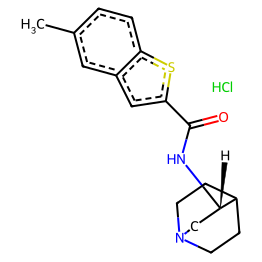 Cc1ccc2sc(C(=O)N[C@H]3CN4CCC3CC4)cc2c1.Cl